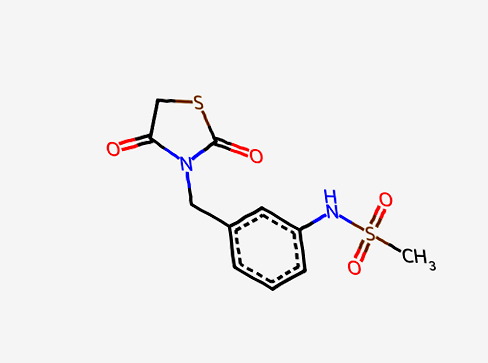 CS(=O)(=O)Nc1cccc(CN2C(=O)CSC2=O)c1